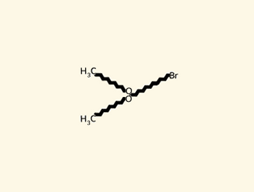 CCCCCCCCCCOC(CCCCC/C=C/CCCBr)OCCCCCCCCCC